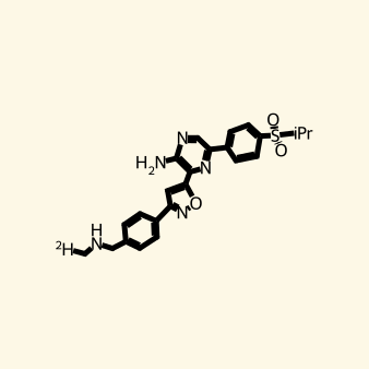 [2H]CNCc1ccc(-c2cc(-c3nc(-c4ccc(S(=O)(=O)C(C)C)cc4)cnc3N)on2)cc1